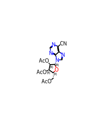 CC(=O)OC[C@H]1O[C@@H](n2cnc3c(C#N)ncnc32)[C@H](OC(C)=O)[C@@H]1OC(C)=O